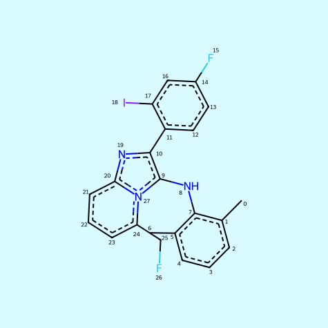 Cc1cccc(C)c1Nc1c(-c2ccc(F)cc2I)nc2cccc(CF)n12